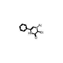 CCC1C(=O)NC(c2ccccc2)=CN1C(C)=O